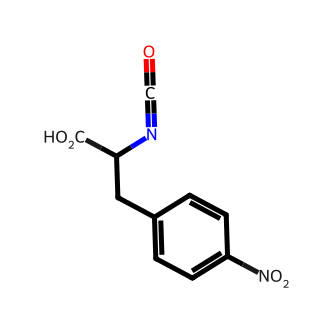 O=C=NC(Cc1ccc([N+](=O)[O-])cc1)C(=O)O